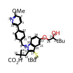 COc1ccc(-c2ccc(Cn3c(CC(C)(C)C(=O)O)c(SC(C)(C)C)c4cc(OCC(O)C(C)(C)C)ccc43)cc2)cn1